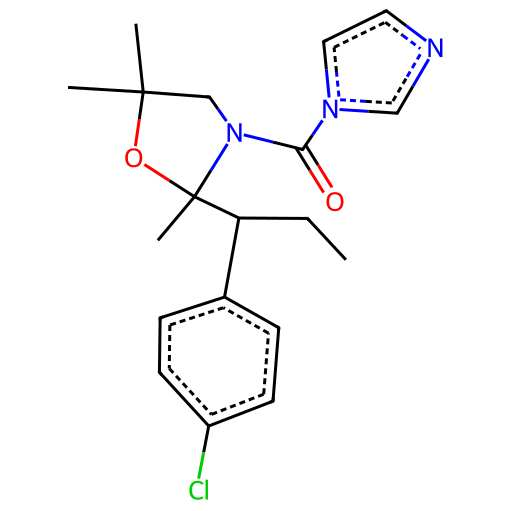 CCC(c1ccc(Cl)cc1)C1(C)OC(C)(C)CN1C(=O)n1ccnc1